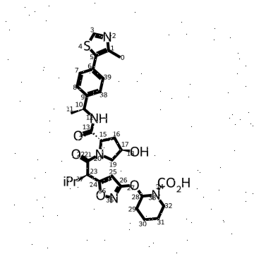 Cc1ncsc1-c1ccc([C@H](C)NC(=O)[C@@H]2C[C@@H](O)CN2C(=O)[C@@H](c2cc(OC3CCCCN3C(=O)O)no2)C(C)C)cc1